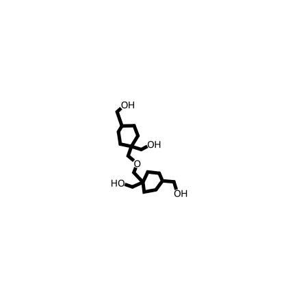 OCC1CCC(CO)(COCC2(CO)CCC(CO)CC2)CC1